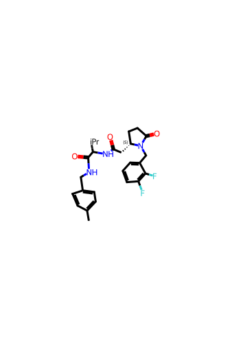 Cc1ccc(CNC(=O)C(NC(=O)C[C@@H]2CCC(=O)N2Cc2cccc(F)c2F)C(C)C)cc1